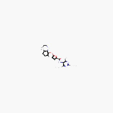 CNc1nc(OC)c(NC(=O)c2ccc(Oc3c(C)ccc4c3NCC[Si]4(C)C)o2)c(OC)n1